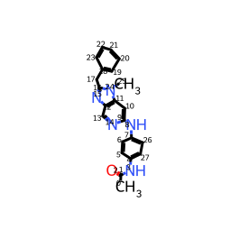 CC(=O)Nc1ccc(Nc2cc3c(cn2)nc(Cc2ccccc2)n3C)cc1